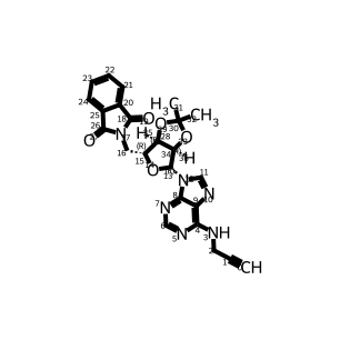 C#CCNc1ncnc2c1ncn2[C@@H]1O[C@H](CN2C(=O)c3ccccc3C2=O)[C@H]2OC(C)(C)O[C@H]21